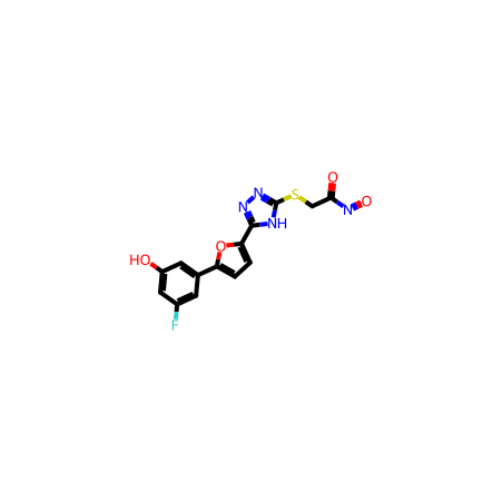 O=NC(=O)CSc1nnc(-c2ccc(-c3cc(O)cc(F)c3)o2)[nH]1